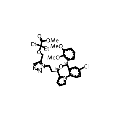 CCC(CC)(OCc1cnnn1CC[C@H]1O[C@H](c2cccc(OC)c2OC)c2cc(Cl)ccc2-n2cccc21)C(=O)OC